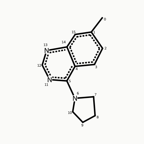 Cc1ccc2c(N3CCCC3)ncnc2c1